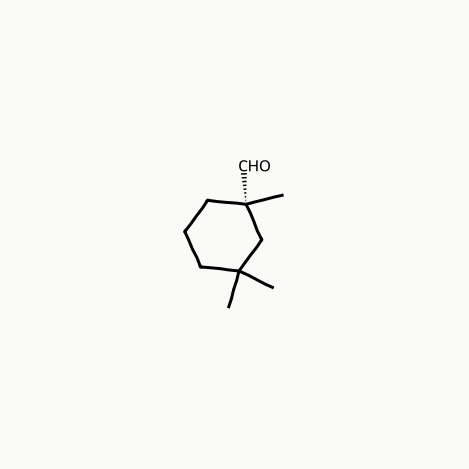 CC1(C)CCC[C@](C)(C=O)C1